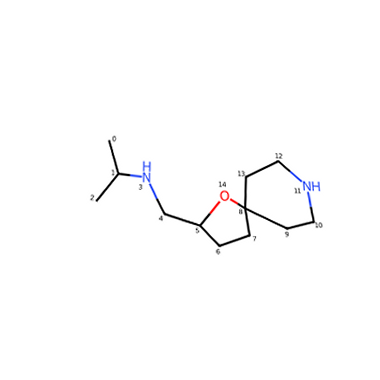 CC(C)NCC1CCC2(CCNCC2)O1